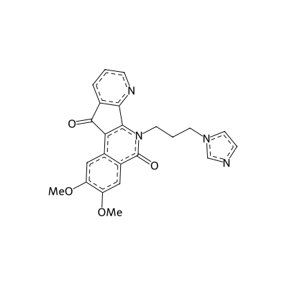 COc1cc2c3c(n(CCCn4ccnc4)c(=O)c2cc1OC)-c1ncccc1C3=O